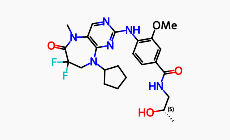 COc1cc(C(=O)NC[C@H](C)O)ccc1Nc1ncc2c(n1)N(C1CCCC1)CC(F)(F)C(=O)N2C